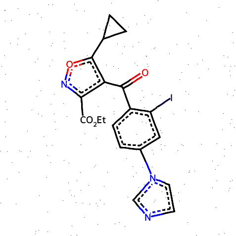 CCOC(=O)c1noc(C2CC2)c1C(=O)c1ccc(-n2ccnc2)cc1I